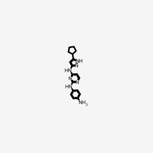 Nc1ccc(Nc2nccc(Nc3cc(C4CCCC4)[nH]n3)n2)cc1